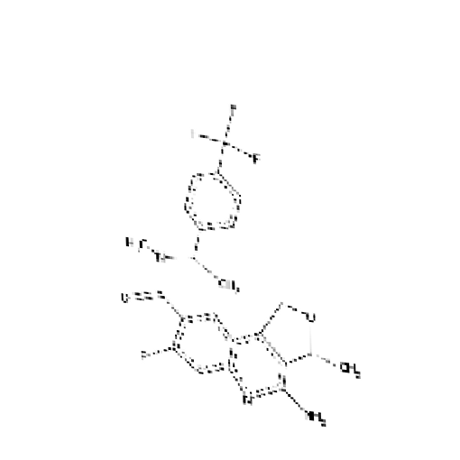 C[C@H]1OCc2c1c(N)nc1cc(F)c(C(=O)N(C)[C@@H](C)c3ccc(C(F)(F)F)cc3)cc21